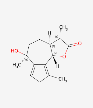 CC1=C2C(=CC1)[C@@](C)(O)CC[C@H]1[C@H](C)C(=O)O[C@H]21